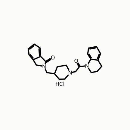 Cl.O=C1c2ccccc2CN1CC1CCN(CC(=O)N2CCCc3ccccc32)CC1